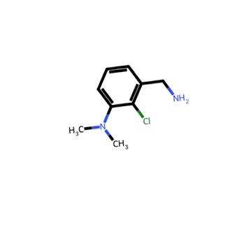 CN(C)c1cccc(CN)c1Cl